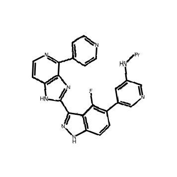 CC(C)Nc1cncc(-c2ccc3[nH]nc(-c4nc5c(-c6ccncc6)nccc5[nH]4)c3c2F)c1